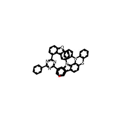 c1ccc(-c2nc(-c3ccccc3)nc(-c3cccc4oc5ccc(-n6c7ccccc7c7ccc8c(c76)N(c6ccccc6)c6ccccc6S8)cc5c34)n2)cc1